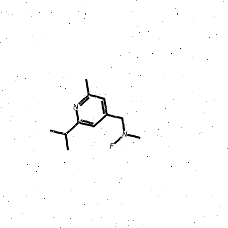 Cc1cc(CN(C)F)cc(C(C)C)n1